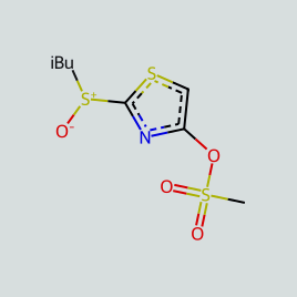 CCC(C)[S+]([O-])c1nc(OS(C)(=O)=O)cs1